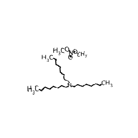 CCCCCCCCN(CCCCCCCC)CCCCCCCC.CO[N+](=O)OC